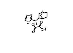 O=C(O)C(=O)O.c1coc(CC2CN3CCC2C3)n1